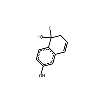 Oc1ccc2c(c1)C=CCC2(O)F